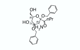 CCCC(=O)C1(OCc2ccccc2)O[C@H](CO)[C@@H](O)[C@H](OCc2ccccc2)[C@H]1N